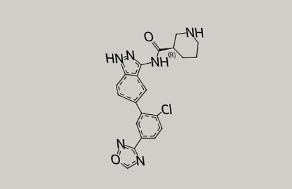 O=C(Nc1n[nH]c2ccc(-c3cc(-c4ncon4)ccc3Cl)cc12)[C@@H]1CCCNC1